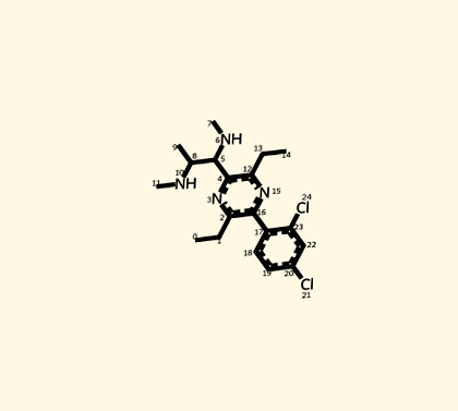 CCc1nc(C(NC)C(C)NC)c(CC)nc1-c1ccc(Cl)cc1Cl